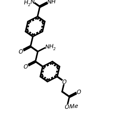 COC(=O)COc1ccc(C(=O)C(N)C(=O)c2ccc(C(=N)N)cc2)cc1